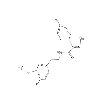 COc1cc(CCNC(=O)/C(=C/O)c2ccc(Cl)cc2)ccc1O